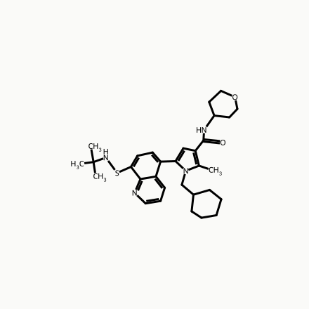 Cc1c(C(=O)NC2CCOCC2)cc(-c2ccc(SNC(C)(C)C)c3ncccc23)n1CC1CCCCC1